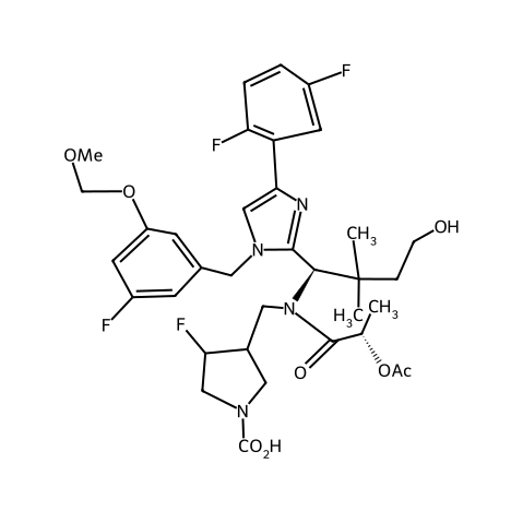 COCOc1cc(F)cc(Cn2cc(-c3cc(F)ccc3F)nc2[C@H](N(CC2CN(C(=O)O)CC2F)C(=O)[C@H](C)OC(C)=O)C(C)(C)CCO)c1